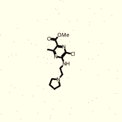 COC(=O)c1nc(Cl)c(NCCN2CCCC2)nc1C